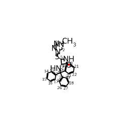 CN1CN(S[C@H]2NC(=O)[C@H]2NC(c2ccccc2)(c2ccccc2)c2ccccc2)N=N1